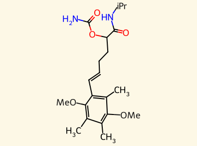 COc1c(C)c(C)c(OC)c(C=CCCC(OC(N)=O)C(=O)NC(C)C)c1C